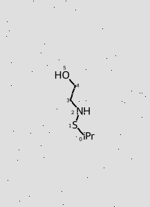 CC(C)SNCCO